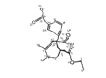 CCOC(=O)C1CN(C)C(C)=CC1(C(=O)O)c1cccc([N+](=O)[O-])c1